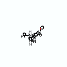 Cc1c(F)cccc1C[C@H](C)Nc1cc[nH]c(=O)c1-c1nc2cc3c(cc2[nH]1)C(=O)N(CCN1CCCC1)C3